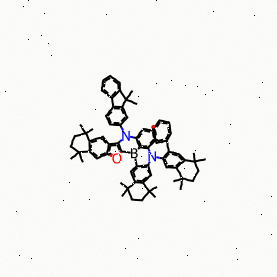 Cc1cc2c3c(c1)N(c1ccc4c(c1)C(C)(C)c1ccccc1-4)c1c(oc4cc5c(cc14)C(C)(C)CCC5(C)C)B3c1cc3c(cc1N2c1cc2c(cc1-c1ccccc1)C(C)(C)CCC2(C)C)C(C)(C)CCC3(C)C